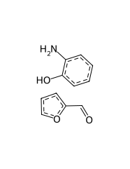 Nc1ccccc1O.O=Cc1ccco1